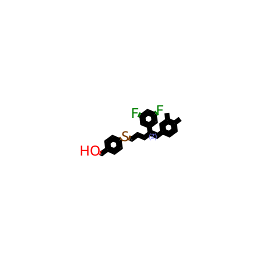 Cc1ccc(/C=C(/CCCSc2ccc(CO)cc2)c2cc(F)cc(F)c2)cc1C